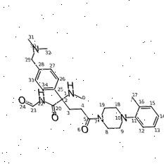 CNC(CCC(=O)N1CCN(c2ccccc2C)CC1)(C(=O)NC=O)c1ccc(CN(C)C)cc1